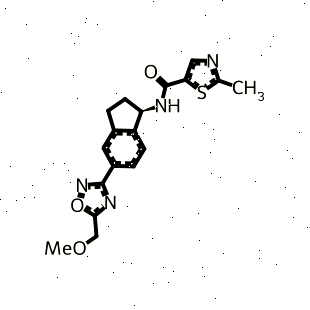 COCc1nc(-c2ccc3c(c2)CC[C@H]3NC(=O)c2cnc(C)s2)no1